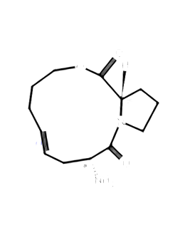 N[C@@H]1C/C=C/CCCOC(=O)[C@@H]2CCCN2C1=O